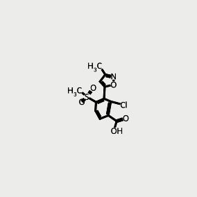 Cc1cc(-c2c(S(C)(=O)=O)ccc(C(=O)O)c2Cl)on1